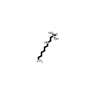 CCCCCCCNCCP(=O)(O)O